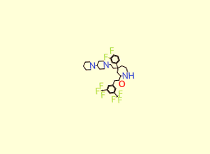 O=C(Cc1cc(C(F)(F)F)cc(C(F)(F)F)c1)C1CC(CCN2CCC(N3CCCCC3)CC2)(c2ccc(F)c(F)c2)CCCN1